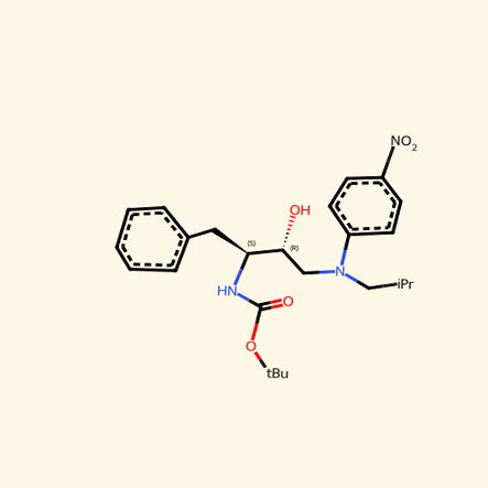 CC(C)CN(C[C@@H](O)[C@H](Cc1ccccc1)NC(=O)OC(C)(C)C)c1ccc([N+](=O)[O-])cc1